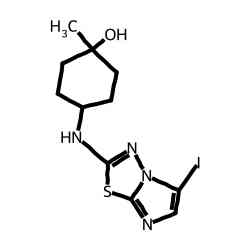 CC1(O)CCC(Nc2nn3c(I)cnc3s2)CC1